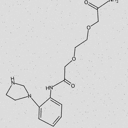 NC(=O)COCCOCC(=O)Nc1ccccc1N1CCNC1